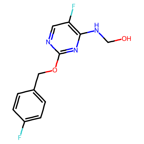 OCNc1nc(OCc2ccc(F)cc2)ncc1F